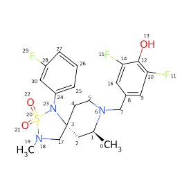 C[C@H]1C[C@]2(CCN1Cc1cc(F)c(O)c(F)c1)CN(C)S(=O)(=O)N2c1cccc(F)c1